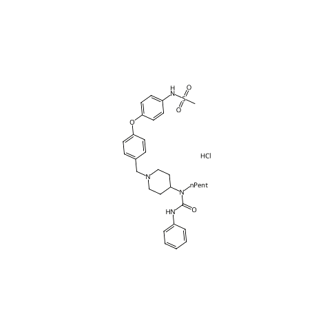 CCCCCN(C(=O)Nc1ccccc1)C1CCN(Cc2ccc(Oc3ccc(NS(C)(=O)=O)cc3)cc2)CC1.Cl